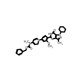 COc1cc(N2C=CC(N(C)C(=O)OCc3ccccc3)=CC2)ccc1-c1nc2c(C)nn(C3CCCCC3)c2c(=O)[nH]1